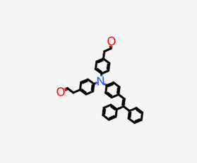 O=CCc1ccc(N(c2ccc(C=C(c3ccccc3)c3ccccc3)cc2)c2ccc(CC=O)cc2)cc1